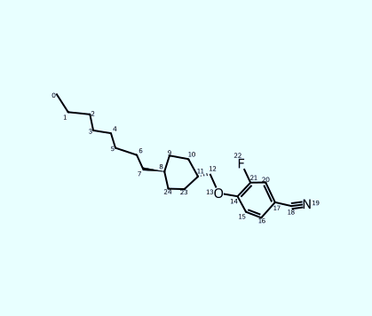 CCCCCCCC[C@H]1CC[C@H](COc2ccc(C#N)cc2F)CC1